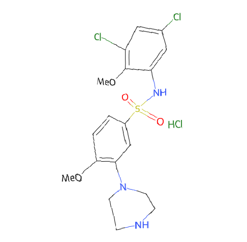 COc1ccc(S(=O)(=O)Nc2cc(Cl)cc(Cl)c2OC)cc1N1CCNCC1.Cl